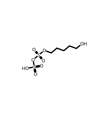 O=S(=O)(O)OS(=O)(=O)OCCCCCO